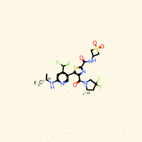 C[C@H](Nc1cc(C(F)F)c(-c2sc(C(=O)NC3CS(=O)(=O)C3)nc2C(=O)N2CC(F)(F)C[C@@H]2C)cn1)C(F)(F)F